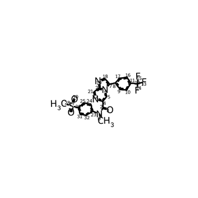 CN(C(=O)c1cn2c(-c3ccc(C(F)(F)F)cc3)cnc2cn1)c1ccc(S(C)(=O)=O)cc1